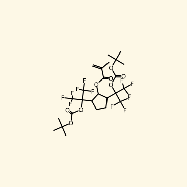 C=C(C)C(=O)OC1C(C(OC(=O)OC(C)(C)C)(C(F)(F)F)C(F)(F)F)CCC1C(OC(=O)OC(C)(C)C)(C(F)(F)F)C(F)(F)F